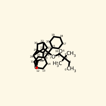 CCC(C)(C)C(=O)OC(C1CCCCC1)(C1CCCCC1)C1C2CC3OC(=O)C1C3C2